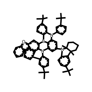 CC(C)(C)c1cccc(N2c3cc(C(C)(C)C)ccc3B3c4cc5oc6ccccc6c5cc4N(c4ccc(C(C)(C)C)cc4-c4ccccc4)c4cc(N5c6ccc(C(C)(C)C)cc6C6(C)CCCCC56C)cc2c43)c1